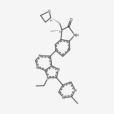 CCn1c(-c2cnc(C)nc2)nc2c(-c3ccc4c(c3)[C@@](C)(C[C@@H]3CCO3)C(=O)N4)ncnc21